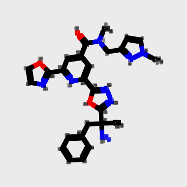 CN(Cc1ccn(C)n1)C(=O)c1cc(-c2ncco2)nc(-c2nnc(C(C)(N)Cc3ccccc3)o2)c1